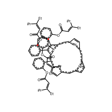 CCC(=CC(=O)Oc1ccccc1-c1c(-c2ccccc2OC(=O)C=C(CC)C(C)C)c2c(-c3ccccc3OC(=O)C=C(CC)C(C)C)c3nc(cc4ccc(cc5nc(cc1n2-c1ccccc1OC(=O)C=C(CC)C(C)C)C=C5)[nH]4)C=C3)C(C)C